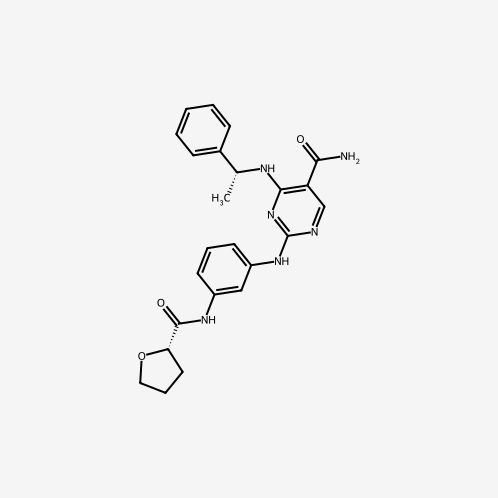 C[C@@H](Nc1nc(Nc2cccc(NC(=O)[C@@H]3CCCO3)c2)ncc1C(N)=O)c1ccccc1